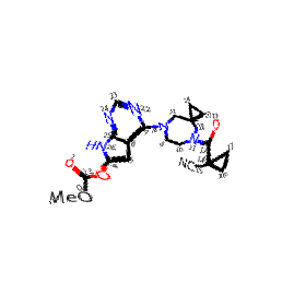 COC(=O)Oc1cc2c(N3CCN(C(=O)C4(C#N)CC4)C4(CC4)C3)ncnc2[nH]1